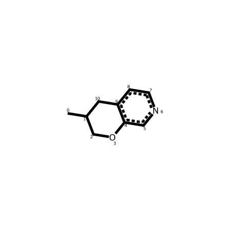 CC1COc2cnccc2C1